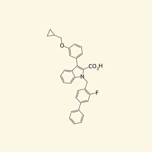 O=C(O)c1c(-c2cccc(OCC3CC3)c2)c2ccccc2n1Cc1ccc(-c2ccccc2)cc1F